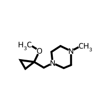 COC1(CN2CCN(C)CC2)CC1